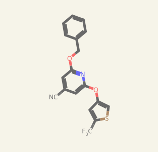 N#Cc1cc(OCc2ccccc2)nc(Oc2csc(C(F)(F)F)c2)c1